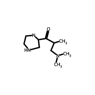 CC(CN(C)C)C(=O)C1CNCC[N]1